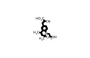 CC1=CC(C)(C)N(CCO)c2ccc(/C=C(\C#N)C(=O)O)cc21